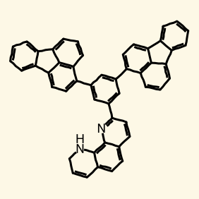 C1=Cc2ccc3ccc(-c4cc(-c5ccc6c7c(cccc57)-c5ccccc5-6)cc(-c5ccc6c7c(cccc57)-c5ccccc5-6)c4)nc3c2NC1